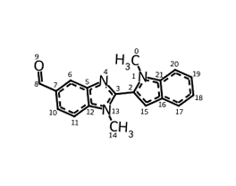 Cn1c(-c2nc3cc(C=O)ccc3n2C)cc2ccccc21